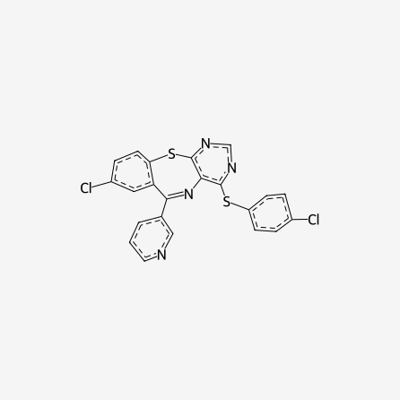 Clc1ccc(Sc2ncnc3c2N=C(c2cccnc2)c2cc(Cl)ccc2S3)cc1